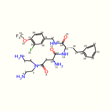 NCCN(CCN)C(=O)C[C@H](N)C(=O)N[C@@H](CCc1ccccc1)C(=O)NCc1ccc(OC(F)(F)F)c(F)c1